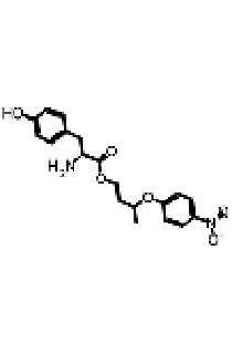 CC(CCOC(=O)[C@@H](N)Cc1ccc(O)cc1)Oc1ccc([N+](=O)[O-])cc1